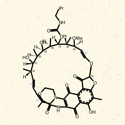 CO[C@H]1/C=C/O[C@@]2(C)Oc3c(C)c(O)c4c(c3C2=O)C(=O)C(N2CCOCC2)=C(NC(=O)/C(C)=C\C=C\[C@H](C)[C@H](O)[C@@H](C)[C@@H](O)[C@@H](C)[C@H](OC(=O)NCC(C)C)[C@@H]1C)C4=O